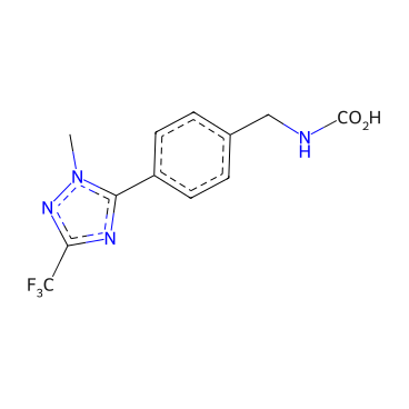 Cn1nc(C(F)(F)F)nc1-c1ccc(CNC(=O)O)cc1